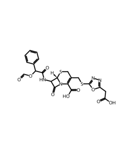 O=COC(C(=O)NC1C(=O)N2C(C(=O)O)=C(CSc3nnc(CC(=O)O)o3)CS[C@@H]12)c1ccccc1